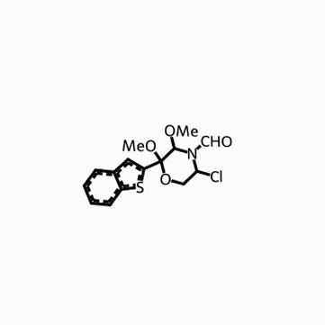 COC1N(C=O)C(Cl)COC1(OC)c1cc2ccccc2s1